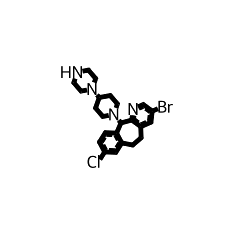 Clc1ccc2c(c1)CCc1cc(Br)cnc1C2N1CCC(N2CCNCC2)CC1